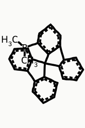 CB(C)c1cccc2c1C1(c3ccccc3-c3ccccc31)c1ccccc1-2